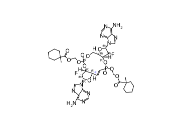 CC1(C(=O)OCOP2(=O)/C=C/[C@H]3O[C@@H](n4cnc5c(N)ncnc54)[C@H](F)[C@@H]3OP(=O)(OCOC(=O)C3(C)CCCCC3)OC[C@H]3O[C@@H](n4cnc5c(N)ncnc54)[C@H](F)[C@@H]3O2)CCCCC1